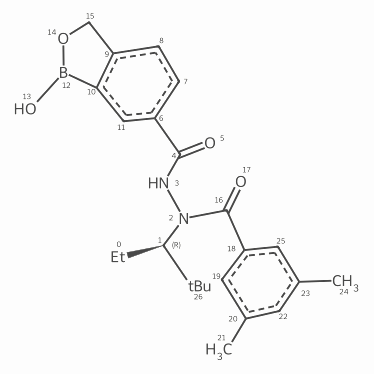 CC[C@@H](N(NC(=O)c1ccc2c(c1)B(O)OC2)C(=O)c1cc(C)cc(C)c1)C(C)(C)C